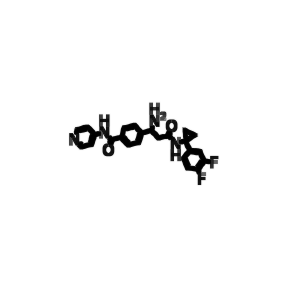 NC(CC(=O)NC1(c2ccc(F)c(F)c2)CC1)c1ccc(C(=O)Nc2ccncc2)cc1